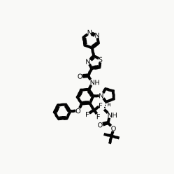 CC(C)(C)OC(=O)NC[C@H]1CCCN1c1c(NC(=O)c2csc(-c3ccnnc3)n2)ccc(Oc2ccccc2)c1C(F)(F)F